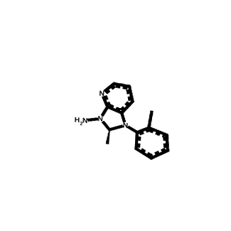 Cc1ccccc1N1c2cccnc2N(N)[C@@H]1C